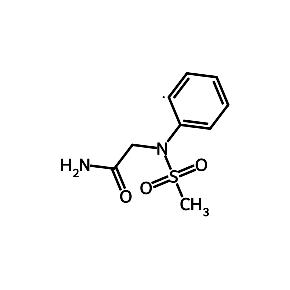 CS(=O)(=O)N(CC(N)=O)c1[c]cccc1